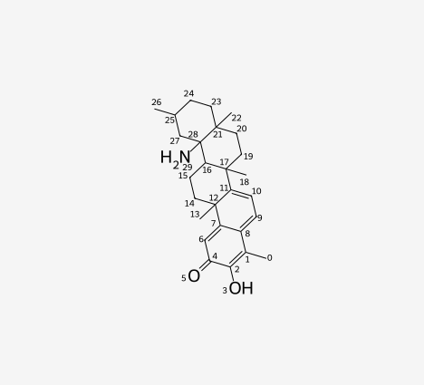 CC1=C(O)C(=O)C=C2C1=CC=C1C2(C)CCC2C1(C)CCC1(C)CCC(C)CC21N